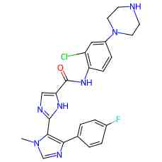 Cn1cnc(-c2ccc(F)cc2)c1-c1ncc(C(=O)Nc2ccc(N3CCNCC3)cc2Cl)[nH]1